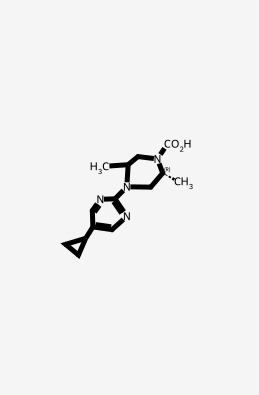 CC1CN(C(=O)O)[C@H](C)CN1c1ncc(C2CC2)cn1